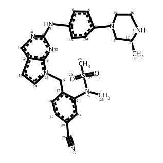 C[C@H]1CN(c2ccc(Nc3ncc4ccn(Cc5ccc(C#N)cc5N(C)S(C)(=O)=O)c4n3)cc2)CCN1